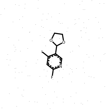 Fc1cc(I)c(C2OCCO2)cn1